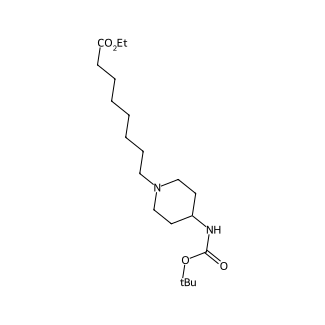 CCOC(=O)CCCCCCCN1CCC(NC(=O)OC(C)(C)C)CC1